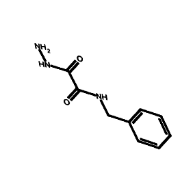 NNC(=O)C(=O)NCc1ccccc1